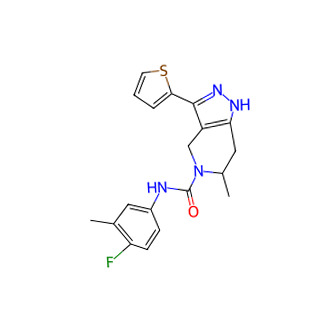 Cc1cc(NC(=O)N2Cc3c(-c4cccs4)n[nH]c3CC2C)ccc1F